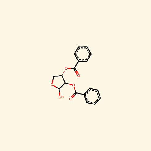 O=C(OC1C(O)OC[C@@H]1OC(=O)c1ccccc1)c1ccccc1